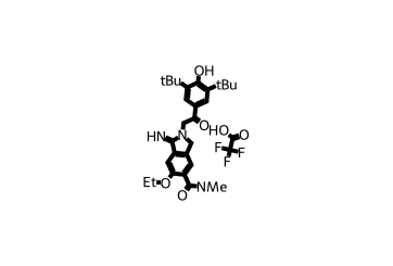 CCOc1cc2c(cc1C(=O)NC)CN(CC(=O)c1cc(C(C)(C)C)c(O)c(C(C)(C)C)c1)C2=N.O=C(O)C(F)(F)F